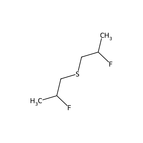 CC(F)CSCC(C)F